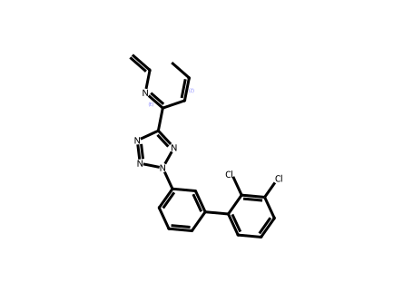 C=C/N=C(\C=C/C)c1nnn(-c2cccc(-c3cccc(Cl)c3Cl)c2)n1